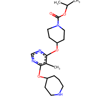 Cc1c(OC2CCCNCC2)ncnc1OC1CCN(C(=O)OC(C)C)CC1